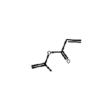 [CH]=C(C)OC(=O)C=C